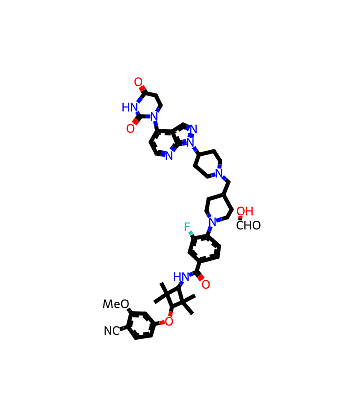 COc1cc(OC2C(C)(C)C(NC(=O)c3ccc(N4CCC(CN5CCC(n6ncc7c(N8CCC(=O)NC8=O)ccnc76)CC5)CC4)c(F)c3)C2(C)C)ccc1C#N.O=CO